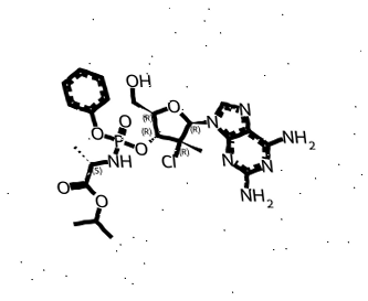 CC(C)OC(=O)[C@H](C)NP(=O)(Oc1ccccc1)O[C@@H]1[C@@H](CO)O[C@@H](n2cnc3c(N)nc(N)nc32)[C@]1(C)Cl